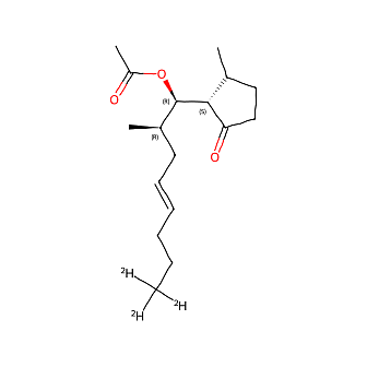 [2H]C([2H])([2H])CCC=CC[C@@H](C)[C@@H](OC(C)=O)[C@H]1C(=O)CCC1C